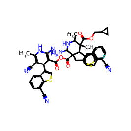 CC1=C(C#N)C(c2csc3c(C#N)cccc23)C(C(=O)OC(=O)C2(Cc3ccc(F)cc3)C(N)NC(C)C(C)(C(=O)OCC3CC3)C2c2csc3c(C#N)cccc23)=C(N)N1